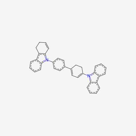 C1=Cc2c(c3ccccc3n2-c2ccc(C3=CC=C(n4c5ccccc5c5ccccc54)CC3)cc2)CC1